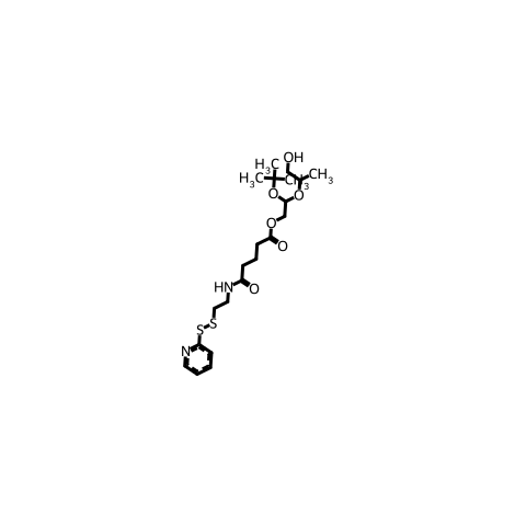 CC(CO)OC(COC(=O)CCCC(=O)NCCSSc1ccccn1)OC(C)(C)C